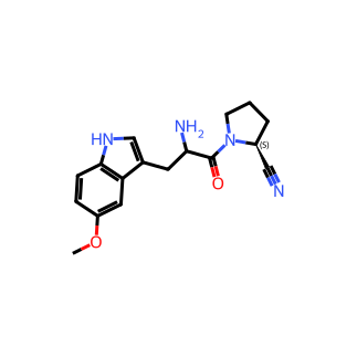 COc1ccc2[nH]cc(CC(N)C(=O)N3CCC[C@H]3C#N)c2c1